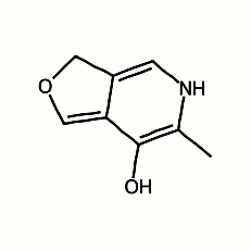 CC1=C(O)C2=COCC2=CN1